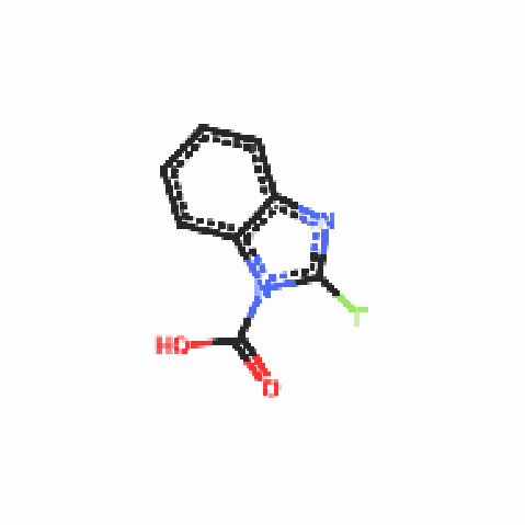 O=C(O)n1c(F)nc2ccccc21